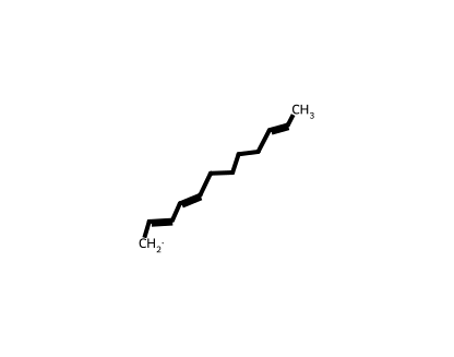 [CH2]C=CC=CCCCCC=CC